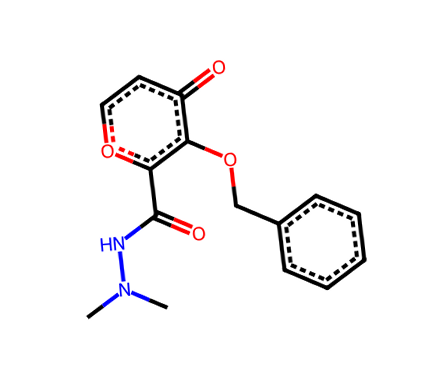 CN(C)NC(=O)c1occc(=O)c1OCc1ccccc1